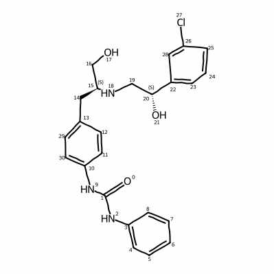 O=C(Nc1ccccc1)Nc1ccc(C[C@@H](CO)NC[C@@H](O)c2cccc(Cl)c2)cc1